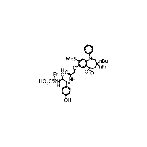 CCCCC1(CCC)CN(c2ccccc2)c2cc(SC)c(OCC(=O)N[C@H](c3ccc(O)cc3)C(O)N[C@@H](CC)C(=O)O)cc2S(=O)(=O)C1